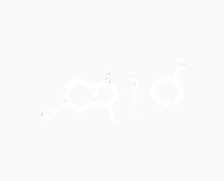 Cc1c(S(=O)(=O)c2cccc(Br)c2)[nH]c2ccc(C(F)(F)F)cc12